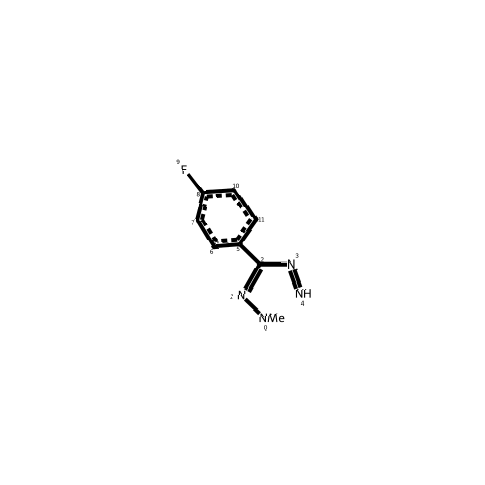 CN/N=C(\N=N)c1ccc(F)cc1